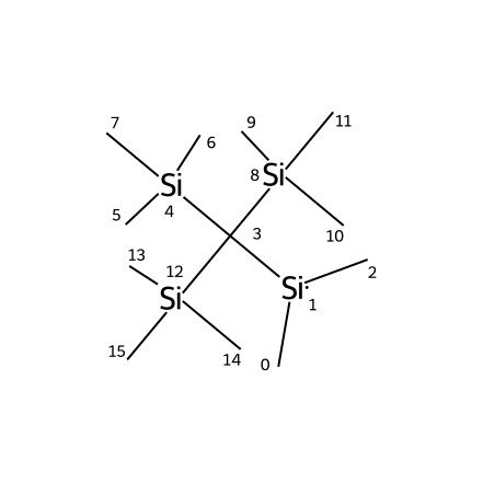 C[Si](C)C([Si](C)(C)C)([Si](C)(C)C)[Si](C)(C)C